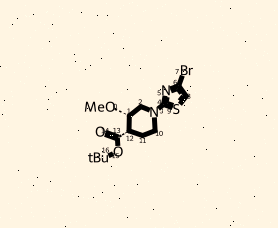 CO[C@@H]1CN(c2nc(Br)cs2)CC[C@@H]1C(=O)OC(C)(C)C